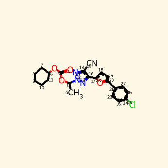 CC(OC(=O)OC1CCCCC1)n1nc(C#N)c(-c2ccc(-c3ccc(Cl)cc3)o2)n1